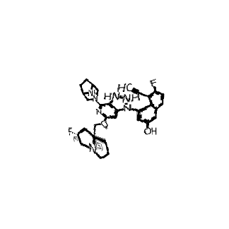 C#Cc1c(F)ccc2cc(O)cc(N3NNc4c3cc(OC[C@@]35CCCN3C[C@H](F)C5)nc4N3CC4CCC(C3)N4)c12